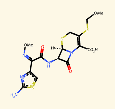 COCSC1=C(C(=O)O)N2C(=O)[C@@H](NC(=O)/C(=N\OC)c3csc(N)n3)[C@H]2SC1